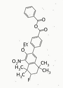 CCOc1c(-c2ccc(C(=O)OC(=O)c3ccccc3)cc2)cc2c(c1[N+](=O)[O-])C(C)(C)C(F)CC2(C)C